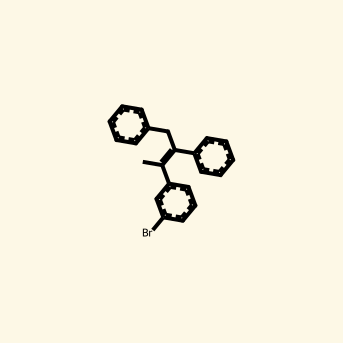 CC(=C(Cc1ccccc1)c1ccccc1)c1cccc(Br)c1